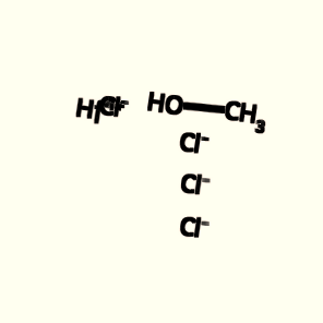 CO.[Cl-].[Cl-].[Cl-].[Cl-].[Hf+4]